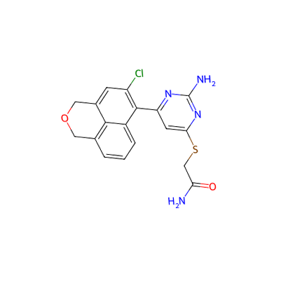 NC(=O)CSc1cc(-c2c(Cl)cc3c4c(cccc24)COC3)nc(N)n1